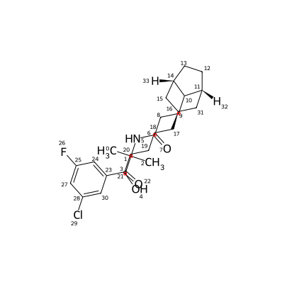 CC(C)(CO)NC(=O)CCC1[C@@H]2CC[C@H]1C[C@H](CCCCC(=O)c1cc(F)cc(Cl)c1)C2